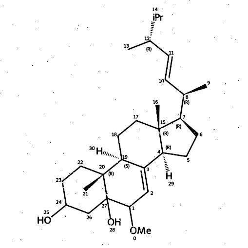 COC1C=C2[C@@H]3CC[C@H]([C@H](C)C=C[C@H](C)C(C)C)[C@@]3(C)CC[C@@H]2[C@@]2(C)CCC(O)CC12O